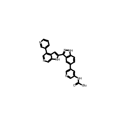 CC(C)(C)C(=O)Nc1cncc(-c2ccc3[nH]nc(-c4cc5c(-c6cccnc6)cncc5[nH]4)c3c2)c1